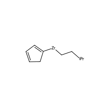 CC(C)C[CH2][Zr][C]1=CC=CC1